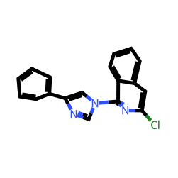 Clc1cc2ccccc2c(-n2cnc(-c3ccccc3)c2)n1